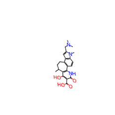 CC1CCc2c(ccc3c2cc(CN(C)C)n3C)-c2[nH]c(=O)c(C(=O)O)c(O)c21